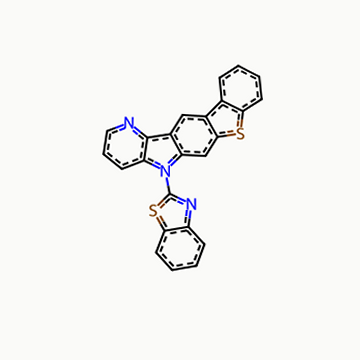 c1ccc2sc(-n3c4cc5sc6ccccc6c5cc4c4ncccc43)nc2c1